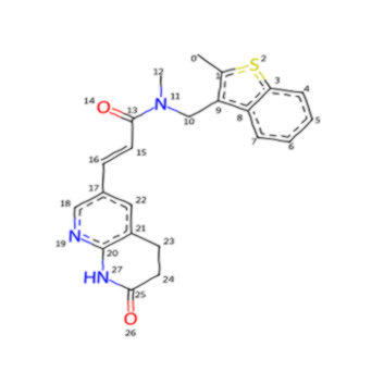 Cc1sc2ccccc2c1CN(C)C(=O)C=Cc1cnc2c(c1)CCC(=O)N2